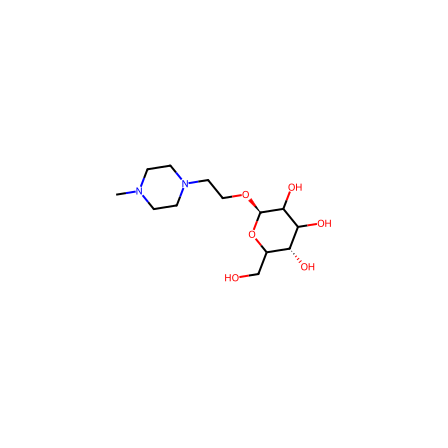 CN1CCN(CCO[C@@H]2OC(CO)[C@@H](O)C(O)C2O)CC1